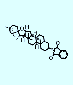 C[C@H]1CC[C@@]2(OC1)O[C@H]1C[C@H]3[C@@H]4CCC5CC(N6C(=O)c7ccccc7C6=O)CCC5(C)[C@H]4CCC3(C)[C@H]1[C@@H]2C